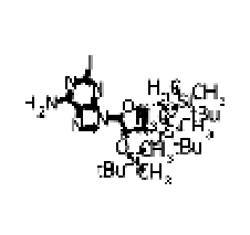 CC(C)(C)[Si](C)(C)OC[C@H]1OC(n2cnc3c(N)nc(I)nc32)[C@H](O[Si](C)(C)C(C)(C)C)[C@@H]1O[Si](C)(C)C(C)(C)C